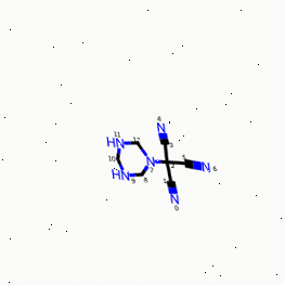 N#CC(C#N)(C#N)N1CNCNC1